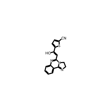 N#Cc1ccc(/C(O)=C/C2=Nc3ccccc3C3=NCCN23)s1